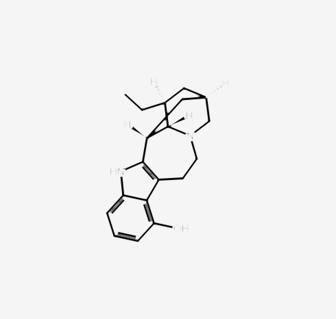 CC[C@H]1C[C@@H]2C[C@H]3c4[nH]c5cccc(O)c5c4CCN(C2)[C@@H]13